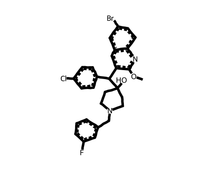 COc1nc2ccc(Br)cc2cc1C(c1ccc(Cl)cc1)C1(O)CCN(Cc2cccc(F)c2)CC1